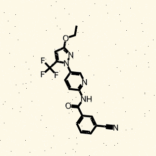 CCOc1cc(C(F)(F)F)n(-c2ccc(NC(=O)c3cccc(C#N)c3)nc2)n1